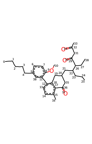 CCCCCc1ccc(OC)c(-c2ccc(C)c3c2CC(CC(CCC)C(CC)C(=O)CC(C)=O)CC3=O)c1